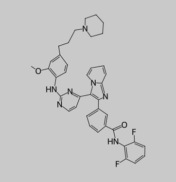 COc1cc(CCCN2CCCCC2)ccc1Nc1nccc(-c2c(-c3cccc(C(=O)Nc4c(F)cccc4F)c3)nc3ccccn23)n1